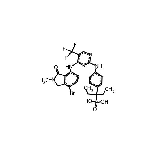 CCC(CC)(c1ccc(Nc2ncc(C(F)(F)F)c(Nc3ccc(Br)c4c3C(=O)N(C)C4)n2)cc1)P(=O)(O)O